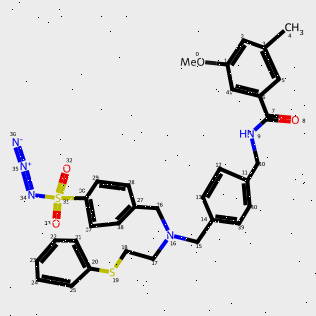 COc1cc(C)cc(C(=O)NCc2ccc(CN(CCSc3ccccc3)Cc3ccc(S(=O)(=O)N=[N+]=[N-])cc3)cc2)c1